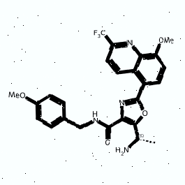 COc1ccc(CNC(=O)c2nc(-c3ccc(OC)c4nc(C(F)(F)F)ccc34)oc2[C@H](C)N)cc1